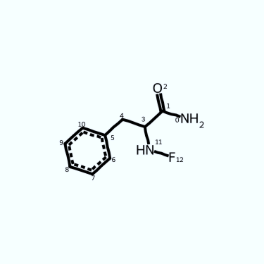 NC(=O)C(Cc1ccccc1)NF